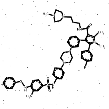 Cc1c(C(=O)NCCCN2CCN(C)CC2)c(-c2cccc(N3CCN(c4ccc(NS(=O)(=O)c5ccc(NSc6ccccc6)c([N+](=O)[O-])c5)cc4)CC3)c2)c(-c2ccc(F)cc2)n1C